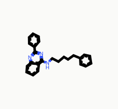 c1ccc(CCCCCNc2nc(-c3ccccc3)nc3ccccc23)cc1